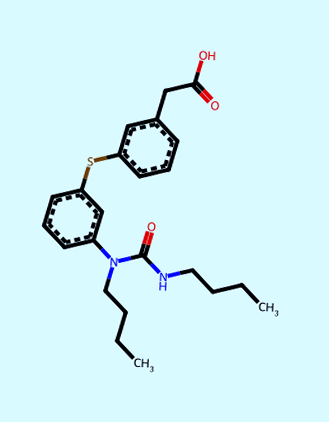 CCCCNC(=O)N(CCCC)c1cccc(Sc2cccc(CC(=O)O)c2)c1